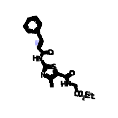 CCOC(=O)CNC(=O)c1sc(NC(=O)/C=C/c2ccccc2)nc1C